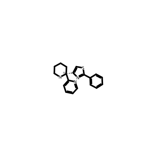 c1ccc(-c2nc([C@@]3(c4ccccn4)CCCC[N]3)cs2)cc1